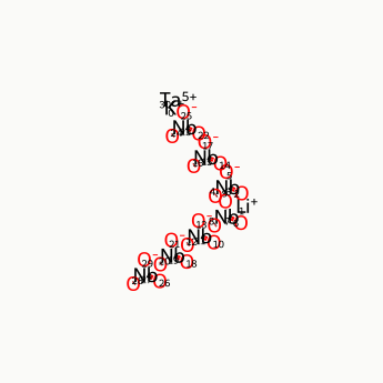 [K+].[Li+].[O]=[Nb](=[O])[O-].[O]=[Nb](=[O])[O-].[O]=[Nb](=[O])[O-].[O]=[Nb](=[O])[O-].[O]=[Nb](=[O])[O-].[O]=[Nb](=[O])[O-].[O]=[Nb](=[O])[O-].[Ta+5]